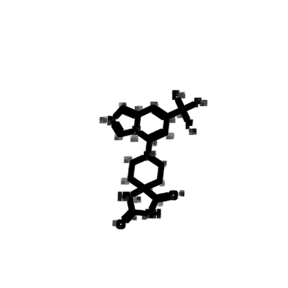 O=C1NC(=O)C2(CCN(c3cc(C(F)(F)F)cc4cncn34)CC2)N1